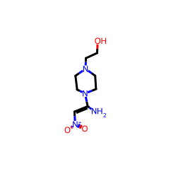 NC(=C[N+](=O)[O-])N1CCN(CCO)CC1